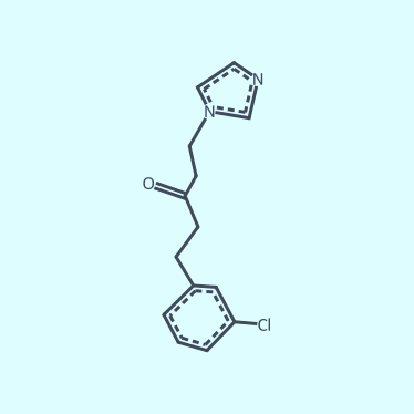 O=C(CCc1cccc(Cl)c1)CCn1ccnc1